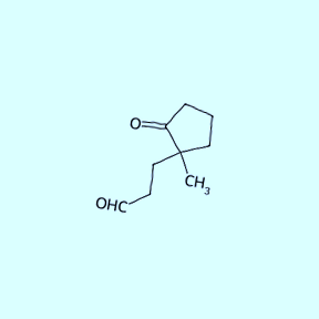 CC1(CCC=O)CCCC1=O